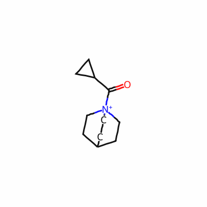 O=C(C1CC1)[N+]12CCC(CC1)CC2